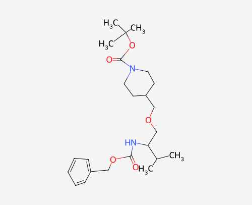 CC(C)C(COCC1CCN(C(=O)OC(C)(C)C)CC1)NC(=O)OCc1ccccc1